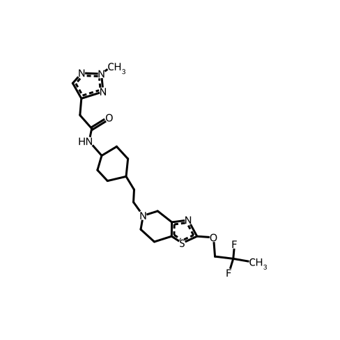 Cn1ncc(CC(=O)NC2CCC(CCN3CCc4sc(OCC(C)(F)F)nc4C3)CC2)n1